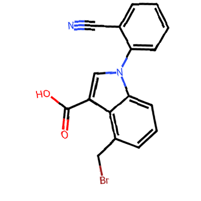 N#Cc1ccccc1-n1cc(C(=O)O)c2c(CBr)cccc21